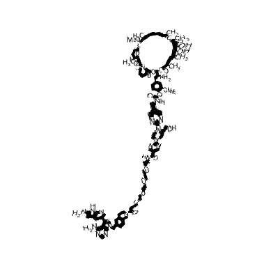 CO[C@H]1C[C@@H]2CC[C@@H](C)[C@@](O)(O2)C(=O)C(=O)N2CCCC[C@H]2C(=O)O[C@H]([C@H](N)C[C@@H]2CC[C@@H](OC(=O)NCc3cnc(N4CCN(c5ncc(C(=O)NCCOCCOCCOCCOCCC(=O)N6CCc7cc(Cn8nc(-c9cnc%10[nH]c(N)cc%10c9)c9c(N)ncnc98)ccc7C6)cn5)CC4CO)nc3)[C@H](OC)C2)CC(=O)[C@H](C)/C=C(\C)[C@@H](O)[C@@H](O)C(=O)[C@H](C)C[C@H](C)/C=C/C=C/C=C/1C